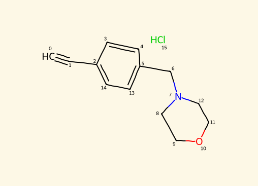 C#Cc1ccc(CN2CCOCC2)cc1.Cl